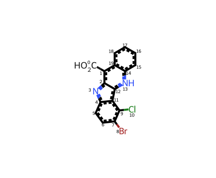 O=C(O)c1c2nc3ccc(Br)c(Cl)c3c-2[nH]c2ccccc12